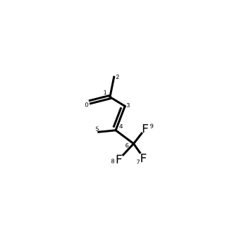 C=C(C)/C=C(\C)C(F)(F)F